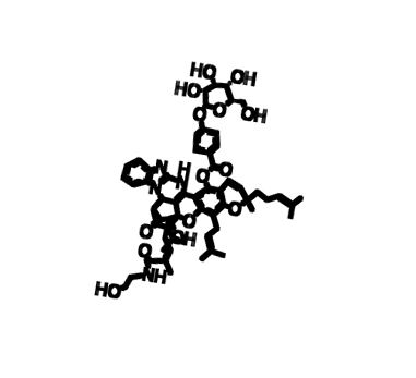 CC(C)=CCCC1(C)C=Cc2c(c(CC=C(C)C)c3c(c2OC(=O)c2ccc(O[C@@H]4O[C@H](CO)[C@@H](O)[C@H](O)[C@H]4O)cc2)C2=C4C(C5CC(C(C)C)C4(O3)C(O)(C/C=C(/C)C(=O)NCCO)C5=O)n3c(nc4ccccc43)N2)O1